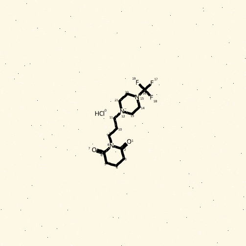 Cl.O=C1CCCC(=O)N1CCCN1CCN(C(F)(F)F)CC1